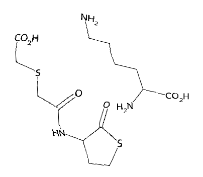 NCCCCC(N)C(=O)O.O=C(O)CSCC(=O)NC1CCSC1=O